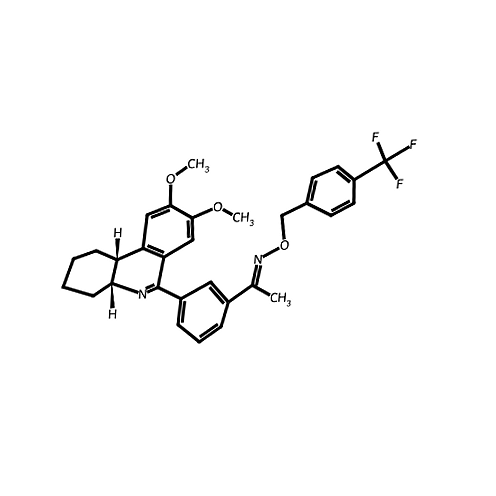 COc1cc2c(cc1OC)[C@H]1CCCC[C@H]1N=C2c1cccc(C(C)=NOCc2ccc(C(F)(F)F)cc2)c1